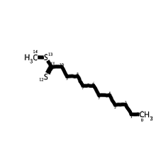 CCCCCCCCCCCC(=S)SC